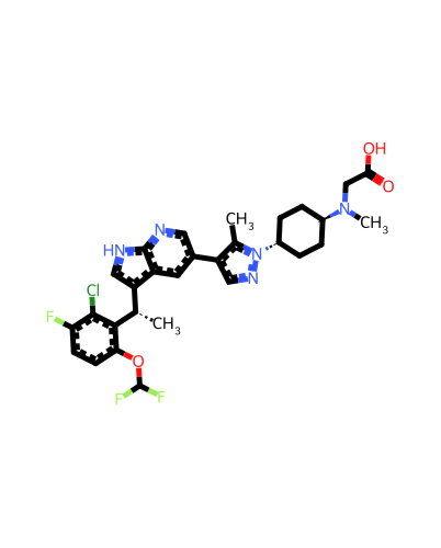 Cc1c(-c2cnc3[nH]cc([C@H](C)c4c(OC(F)F)ccc(F)c4Cl)c3c2)cnn1[C@H]1CC[C@H](N(C)CC(=O)O)CC1